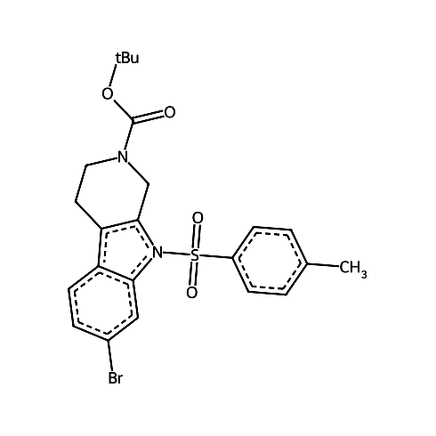 Cc1ccc(S(=O)(=O)n2c3c(c4ccc(Br)cc42)CCN(C(=O)OC(C)(C)C)C3)cc1